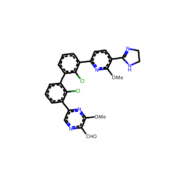 COc1nc(-c2cccc(-c3cccc(-c4cnc(C=O)c(OC)n4)c3Cl)c2Cl)ccc1C1=NCCN1